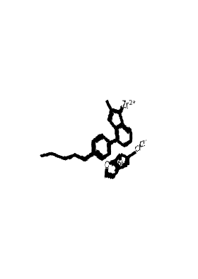 CC1=C2c3ccoc3C1[Si]2(C)C.CCCCCc1ccc(-c2cccc3c2C=C(C)[CH]3[Zr+2])cc1.[Cl-].[Cl-]